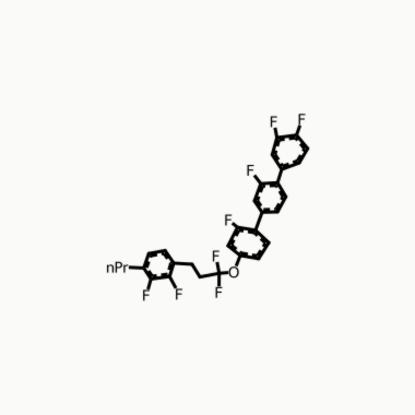 CCCc1ccc(CCC(F)(F)Oc2ccc(-c3ccc(-c4ccc(F)c(F)c4)c(F)c3)c(F)c2)c(F)c1F